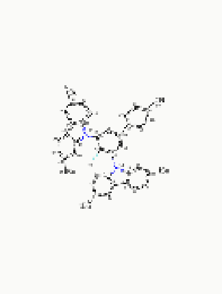 CC(C)(C)c1ccc2c(c1)c1ccc(C(C)(C)C)cc1n2-c1cc(-c2ccc(C#N)cc2)cc(-n2c3ccc(C(C)(C)C)cc3c3ccc(C(C)(C)C)cc32)c1F